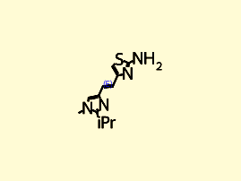 CC(C)c1nc(/C=C/c2csc(N)n2)cn1C